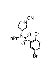 CCCN(C1CCN(C#N)C1)S(=O)(=O)c1cc(Br)ccc1Br